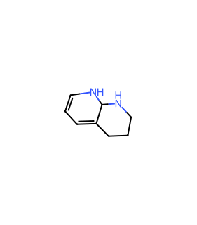 C1=CNC2NCCCC2=C1